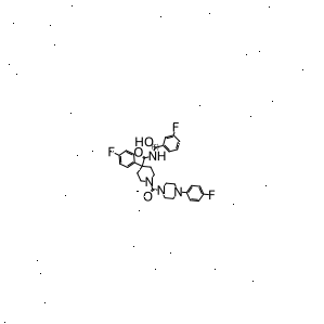 O=C(N1CCN(c2ccc(F)cc2)CC1)N1CCC(C(=O)N[C@@H](O)c2cccc(F)c2)(c2ccc(F)cc2)CC1